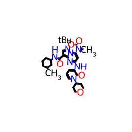 CC1CCCC(NC(=O)c2cnn3c(N(C)C(=O)OC(C)(C)C)cc(Nc4cccn(C5CCOCC5)c4=O)nc23)C1